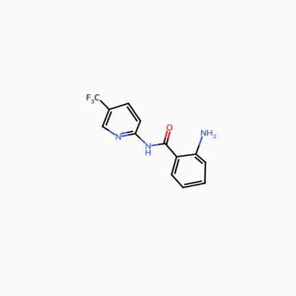 Nc1ccccc1C(=O)Nc1ccc(C(F)(F)F)cn1